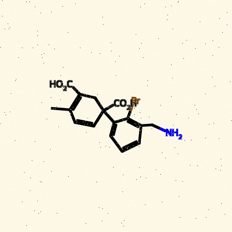 CC1=C(C(=O)O)CC(C(=O)O)(c2cccc(CN)c2Br)C=C1